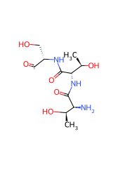 C[C@@H](O)[C@H](N)C(=O)N[C@H](C(=O)N[C@H]([C]=O)CO)[C@@H](C)O